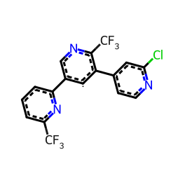 FC(F)(F)c1cccc(-c2[c]c(-c3ccnc(Cl)c3)c(C(F)(F)F)nc2)n1